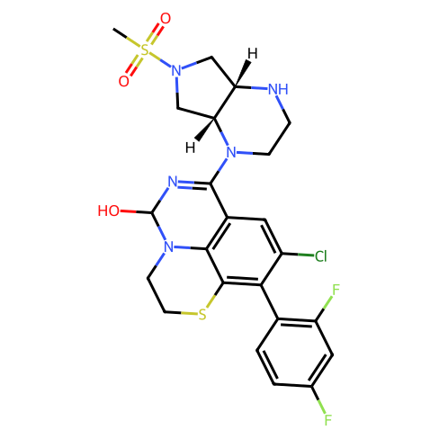 CS(=O)(=O)N1C[C@@H]2NCCN(C3=NC(O)N4CCSc5c(-c6ccc(F)cc6F)c(Cl)cc3c54)[C@@H]2C1